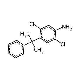 CC(C)(c1ccccc1)c1cc(Cl)c(N)cc1Cl